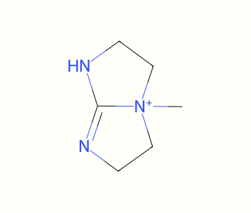 C[N+]12CCN=C1NCC2